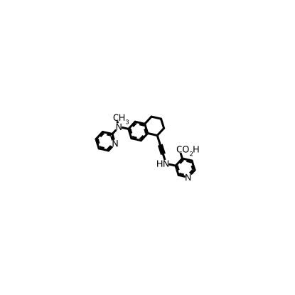 CN(c1ccc2c(c1)CCCC2C#CNc1cnccc1C(=O)O)c1ccccn1